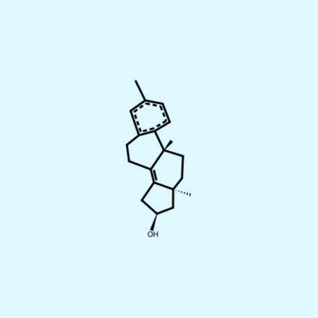 Cc1ccc2c(c1)CCC1=C3C[C@H](O)C[C@]3(C)CC[C@]12C